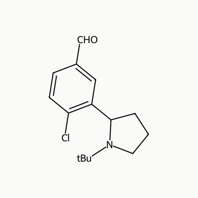 CC(C)(C)N1CCCC1c1cc(C=O)ccc1Cl